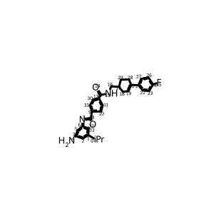 CC(C)c1cc(N)cc2nc(-c3ccc(C(=O)NCC4CC=C(c5ccc(F)cc5)CC4)cc3)oc12